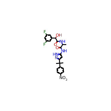 CC(NC(=O)C(O)c1cc(F)cc(F)c1)C(=O)Nc1cc(C(C)(C)c2ccc([N+](=O)[O-])cc2)n[nH]1